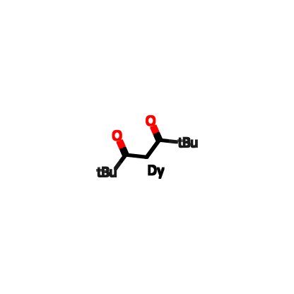 CC(C)(C)C(=O)CC(=O)C(C)(C)C.[Dy]